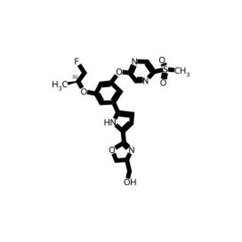 C[C@@H](CF)Oc1cc(Oc2cnc(S(C)(=O)=O)cn2)cc(-c2ccc(C3=NC(CO)CO3)[nH]2)c1